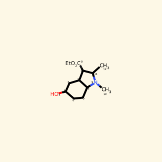 CCOC(=O)C1C2CC(O)CCC2N(C)C1C